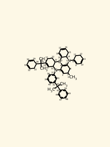 CC1C=C2C3=C(C1)N(C1=CC=CCC1)C1CC=CC=C1B3C1CCC(C(C)(C)C3C=CC=CC3)=CC1N2c1cccc(C(C)(C)c2ccccc2)c1